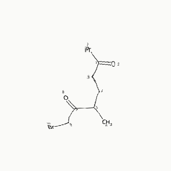 CC(C)C(=O)CCC(C)C(=O)CBr